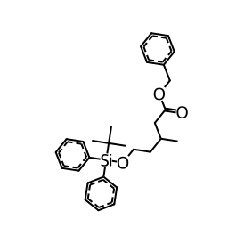 CC(CCO[Si](c1ccccc1)(c1ccccc1)C(C)(C)C)CC(=O)OCc1ccccc1